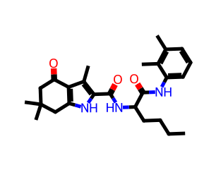 CCCCC(NC(=O)c1[nH]c2c(c1C)C(=O)CC(C)(C)C2)C(=O)Nc1cccc(C)c1C